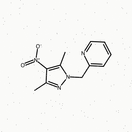 Cc1nn(Cc2ccccn2)c(C)c1[N+](=O)[O-]